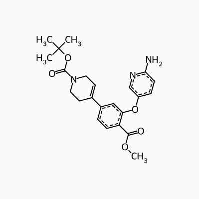 COC(=O)c1ccc(C2=CCN(C(=O)OC(C)(C)C)CC2)cc1Oc1ccc(N)nc1